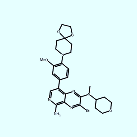 CCc1nc2c(N)ncc(-c3ccc(N4CCC5(CC4)OCCO5)c(OC)c3)c2nc1N(C)C1CCOCC1